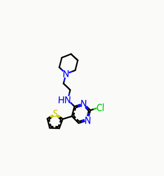 Clc1ncc(-c2cccs2)c(NCCN2CCCCC2)n1